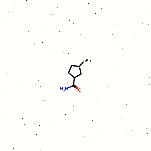 CCCCC1CCC(C(N)=O)C1